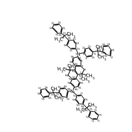 CC1(C)Cc2cc(N(c3ccc(C(C)(C)c4ccccc4)cc3)c3ccc(C(C)(C)c4ccccc4)cc3)ccc2C2=C1c1ccc(N(c3ccc(C(C)(C)c4ccccc4)cc3)c3ccc(C(C)(C)c4ccccc4)cc3)cc1CC2(C)C